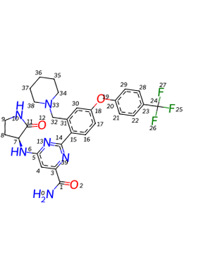 NC(=O)c1cc(N[C@H]2CCNC2=O)nc(-c2ccc(Oc3ccc(C(F)(F)F)cc3)cc2CN2CCCCC2)n1